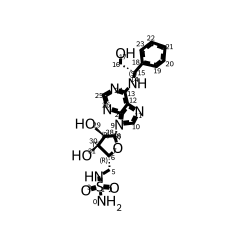 NS(=O)(=O)NC[C@H]1O[C@@H](n2cnc3c(N[C@H](CO)c4ccccc4)ncnc32)[C@H](O)[C@@H]1O